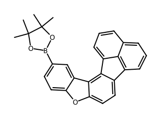 CC1(C)OB(c2ccc3oc4ccc5c(c4c3c2)-c2cccc3cccc-5c23)OC1(C)C